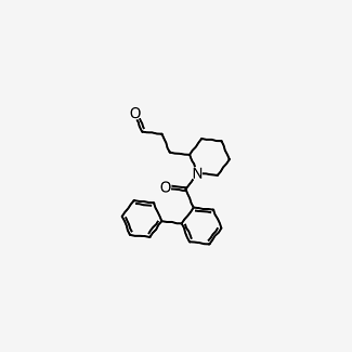 O=CCCC1CCCCN1C(=O)c1ccccc1-c1ccccc1